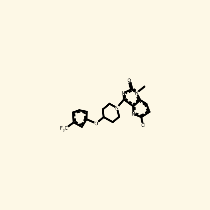 Cn1c(=O)nc(N2CCC(Oc3cccc(C(F)(F)F)c3)CC2)c2nc(Cl)ccc21